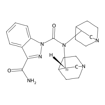 NC(=O)c1nn(C(=O)N(C2CN3CCC2CC3)[C@@H]2CN3CCC2CC3)c2ccccc12